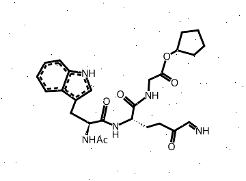 CC(=O)N[C@@H](Cc1c[nH]c2ccccc12)C(=O)N[C@@H](CCC(=O)C=N)C(=O)NCC(=O)OC1CCCC1